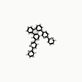 c1ccc(-c2ccc(-c3cccc(-c4ccccc4-c4cccc(-c5ccc(-c6ccccn6)nc5)c4)c3)cn2)nc1